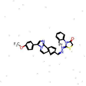 CC(C)c1ccccc1N1C(=O)CS/C1=N\N=C/c1ccc2c(ccn3c(-c4ccc(OC(F)(F)F)cc4)cnc23)c1